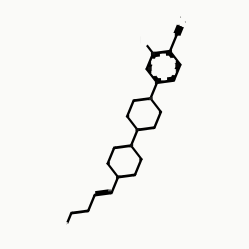 N#Cc1ccc(C2CCC(C3CCC(C=CCCF)CC3)CC2)cc1F